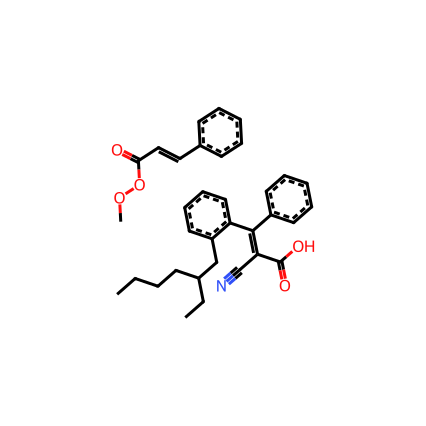 CCCCC(CC)Cc1ccccc1C(=C(C#N)C(=O)O)c1ccccc1.COOC(=O)C=Cc1ccccc1